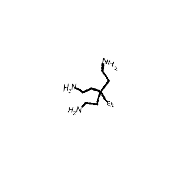 CCC(CCN)(CCN)CCN